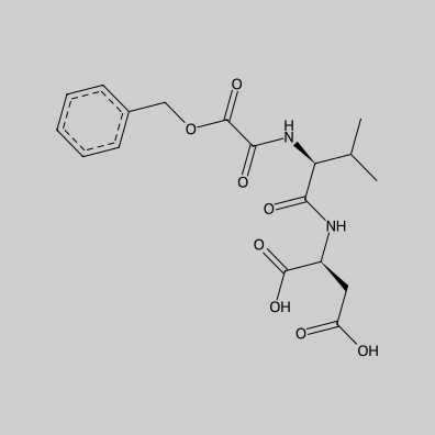 CC(C)[C@H](NC(=O)C(=O)OCc1ccccc1)C(=O)N[C@@H](CC(=O)O)C(=O)O